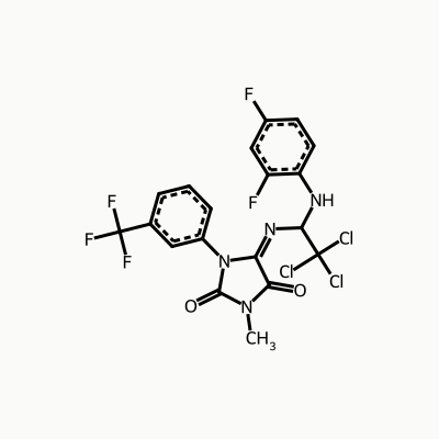 CN1C(=O)C(=NC(Nc2ccc(F)cc2F)C(Cl)(Cl)Cl)N(c2cccc(C(F)(F)F)c2)C1=O